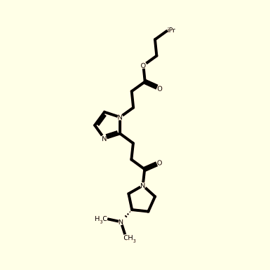 CC(C)CCOC(=O)CCn1ccnc1CCC(=O)N1CC[C@H](N(C)C)C1